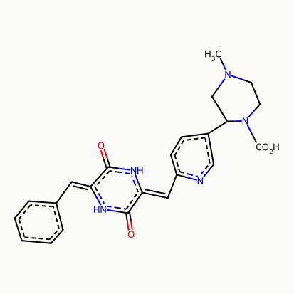 CN1CCN(C(=O)O)C(c2ccc(C=c3[nH]c(=O)c(=Cc4ccccc4)[nH]c3=O)nc2)C1